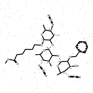 COC(=O)CCCCCO[C@H]1OC(C)[C@@H](N=[N+]=[N-])[C@H](C)C1O[C@H]1OC(C)[C@@H](N=[N+]=[N-])[C@H](C)C1O[C@H]1OC(C)[C@@H](N=[N+]=[N-])[C@H](O)C1OCc1ccccc1